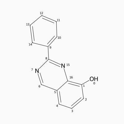 Oc1cccc2cnc(-c3ccccc3)nc12